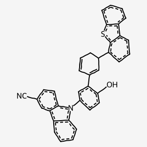 N#Cc1ccc2c(c1)c1ccccc1n2-c1ccc(O)c(C2=CC(c3cccc4c3sc3ccccc34)CC=C2)c1